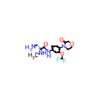 CN[C@H](CN)C(=O)Nc1ccc(N2CCOCC2=O)c(OC(F)F)c1